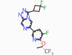 C[C@H](Oc1ncc(-c2cn3c(C4CC(F)(F)C4)nnc3cn2)cc1F)C(F)(F)F